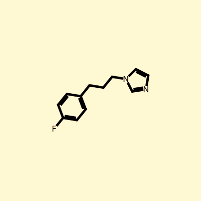 Fc1ccc([CH]CCn2ccnc2)cc1